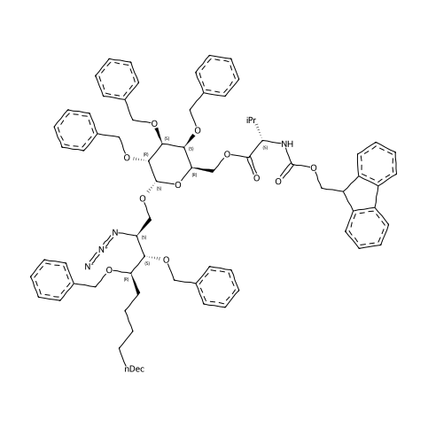 CCCCCCCCCCCCCC[C@@H](OCc1ccccc1)[C@@H](OCc1ccccc1)[C@H](CO[C@H]1O[C@H](COC(=O)[C@@H](NC(=O)OCC2c3ccccc3-c3ccccc32)C(C)C)[C@H](OCc2ccccc2)[C@H](OCc2ccccc2)[C@H]1OCc1ccccc1)N=[N+]=[N-]